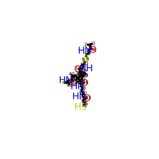 C=C(C)C(=O)NCCSSCCNC(=O)C(C)(CC)C(C)(C)CC(C)(C(=O)NCCCNC(=O)CCS)C(C)(C)CC(C)C(=O)NC(C)C